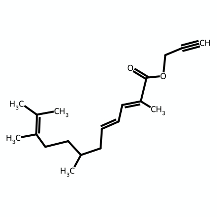 C#CCOC(=O)/C(C)=C/C=C/CC(C)CCC(C)=C(C)C